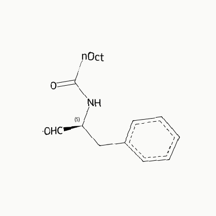 CCCCCCCCC(=O)N[C@H]([C]=O)Cc1ccccc1